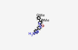 COc1ccc(-c2cnc(C(=O)N3CCC(c4ccc(N)nn4)CC3)cc2OC)cc1